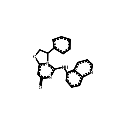 O=c1cc2n(c(Nc3cccc4ncccc34)n1)C(c1ccccc1)CO2